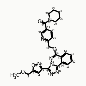 COCc1cc(-c2nnc3c4ccccc4c(OCc4ccc(C(=O)N5CCCCC5)cn4)nn23)no1